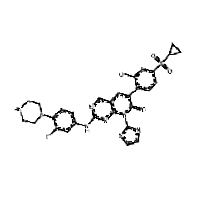 O=c1c(-c2ccc(S(=O)(=O)C3CC3)cc2Cl)cc2cnc(Nc3ccc(N4CCNCC4)c(F)c3)nc2n1-c1nccs1